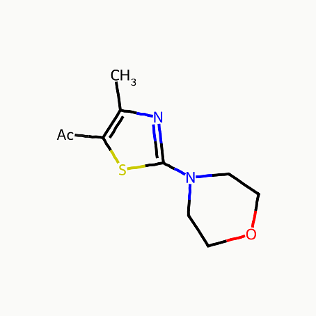 CC(=O)c1sc(N2CCOCC2)nc1C